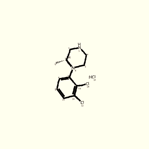 C[C@@H]1CNCCN1c1cccc(Cl)c1Cl.Cl